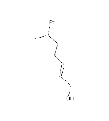 CCC(C)CCC=CCO